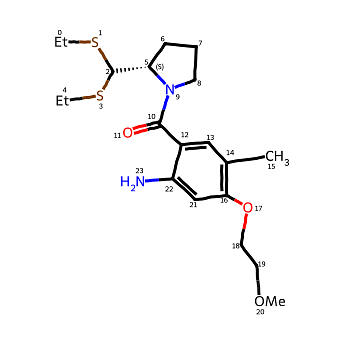 CCSC(SCC)[C@@H]1CCCN1C(=O)c1cc(C)c(OCCOC)cc1N